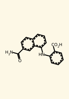 NC(=O)c1ccc2cccc(Nc3ccccc3C(=O)O)c2c1